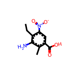 CCc1c([N+](=O)[O-])cc(C(=O)O)c(C)c1N